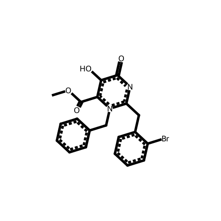 COC(=O)c1c(O)c(=O)nc(Cc2ccccc2Br)n1Cc1ccccc1